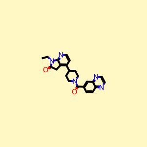 CCN1C(=O)Cc2c(C3CCN(C(=O)c4ccc5nccnc5c4)CC3)ccnc21